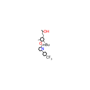 C=C(O)CCc1cc(C)c(OC(CCCC)c2cccc(-c3ccc(C(F)(F)F)cc3)n2)c(C)c1